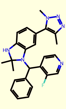 Cc1nnn(C)c1-c1ccc2c(c1)N(C(c1ccccc1)c1ccncc1F)C(C)(C)N2